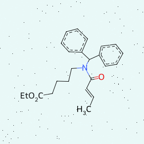 CC=CC(=O)N(CCCCC(=O)OCC)C(c1ccccc1)c1ccccc1